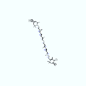 CO[C@H]1CC(C)(C)C(/C=C/C(C)=C/C=C/C(C)=C/C=C/C=C(C)/C=C/C=C(C)/C=C/C2=C(C)C[C@@H](O)CC2(C)C)=C(C)C1=O